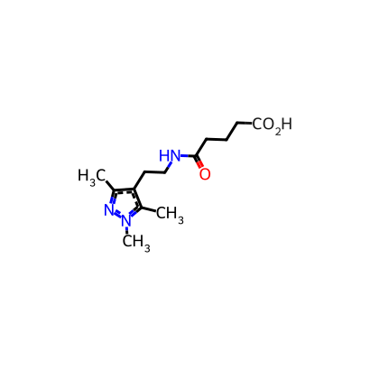 Cc1nn(C)c(C)c1CCNC(=O)CCCC(=O)O